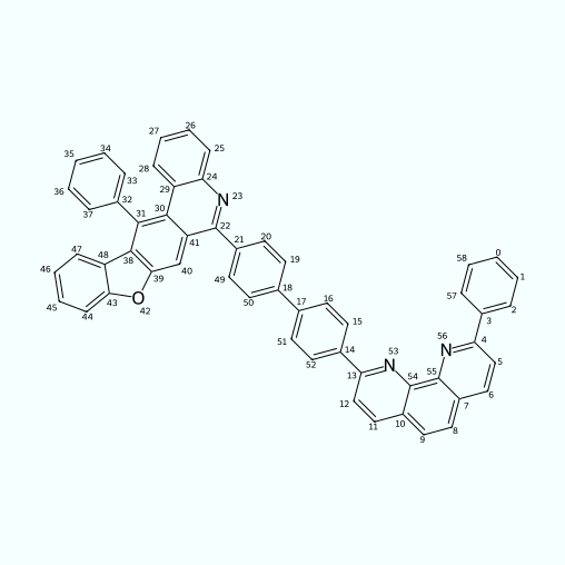 c1ccc(-c2ccc3ccc4ccc(-c5ccc(-c6ccc(-c7nc8ccccc8c8c(-c9ccccc9)c9c(cc78)oc7ccccc79)cc6)cc5)nc4c3n2)cc1